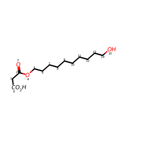 O=C(O)CC(=O)OCCCCCCCCCCO